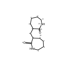 O=C1NCCCCC1CC1CCCCNC1=O